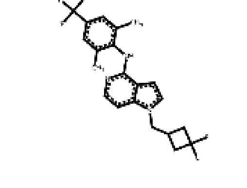 Cc1cc(C(F)(F)F)cc(C)c1Nc1nccc2c1ccn2CC1CC(F)(F)C1